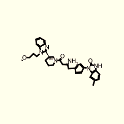 COCCCn1c([C@@H]2CCCN(C(=O)C[C@H](N)Cc3ccc(-n4c(=O)[nH]c5ccc(C)cc54)cc3)C2)nc2ccccc21